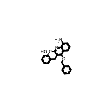 Nc1cccc2c(OCc3ccccc3)c(Cc3ccccc3)c(C(=O)O)nc12